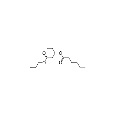 CCCCCC(=O)OC(CC)CC(=O)OCCC